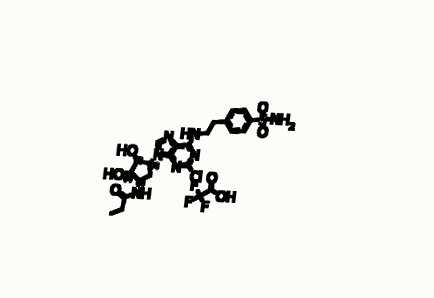 CCC(=O)N[C@H]1C[C@@H](n2cnc3c(NCCc4ccc(S(N)(=O)=O)cc4)nc(Cl)nc32)[C@H](O)[C@@H]1O.O=C(O)C(F)(F)F